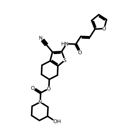 N#Cc1c(NC(=O)C=Cc2ccco2)sc2c1CCC(OC(=O)N1CCCC(O)C1)C2